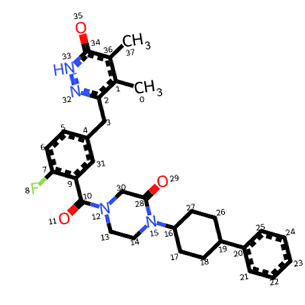 Cc1c(Cc2ccc(F)c(C(=O)N3CCN(C4CCC(c5ccccc5)CC4)C(=O)C3)c2)n[nH]c(=O)c1C